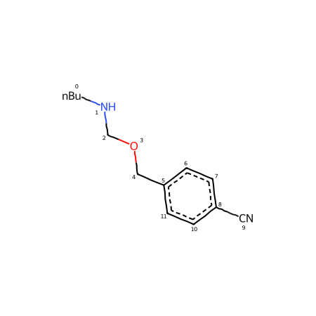 CCCCNCOCc1ccc(C#N)cc1